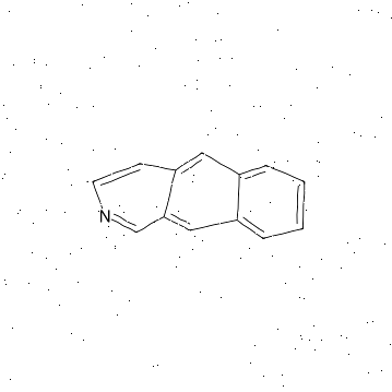 [c]1cc2cc3ccccc3cc2cn1